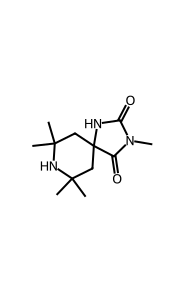 CN1C(=O)NC2(CC(C)(C)NC(C)(C)C2)C1=O